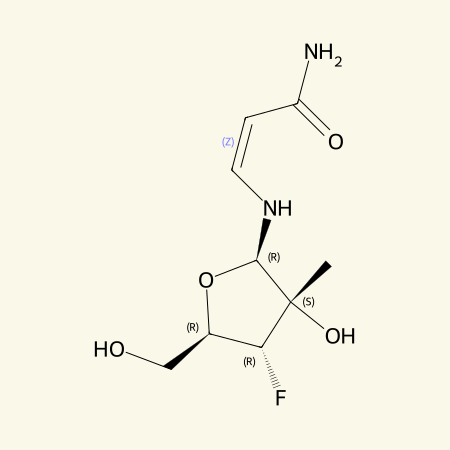 C[C@]1(O)[C@H](N/C=C\C(N)=O)O[C@H](CO)[C@H]1F